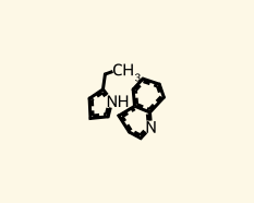 CCc1ccc[nH]1.c1ccc2ncccc2c1